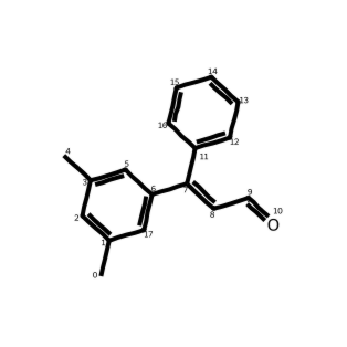 Cc1cc(C)cc(C(=C[C]=O)c2ccccc2)c1